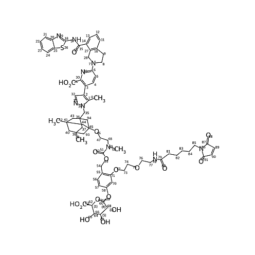 Cc1c(-c2ccc(N3CCc4cccc(C(=O)Nc5nc6ccccc6s5)c4C3)nc2C(=O)O)cnn1CC12CC3(C)CC(C)(C1)CC(OCCN(C)C(=O)OCc1ccc(O[C@@H]4O[C@H](C(=O)O)C(O)[C@H](O)[C@H]4O)cc1OCCOCCNC(=O)CCCCCN1C(=O)C=CC1=O)(C3)C2